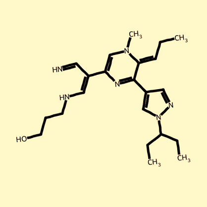 CC/C=C1/C(c2cnn(C(CC)CC)c2)=NC(/C(C=N)=C/NCCCO)=CN1C